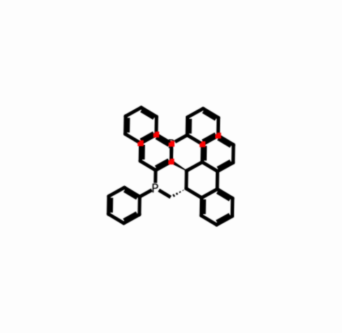 c1ccc(P(C[C@H]2c3ccccc3-c3ccccc3[C@@H]2CP(c2ccccc2)c2ccccc2)c2ccccc2)cc1